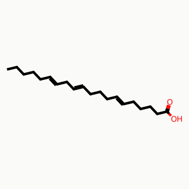 CCCCCC=CCC=CCCCC=CCCCCC(=O)O